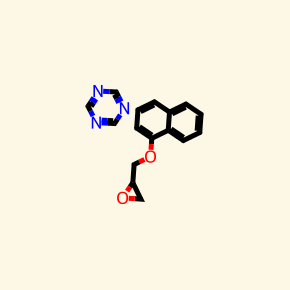 c1ccc2c(OCC3CO3)cccc2c1.c1ncncn1